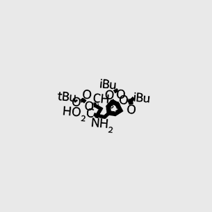 CCC(C)C(=O)Oc1ccc(CC(N)(C[C@H](C)OC(=O)OC(C)(C)C)C(=O)O)cc1OC(=O)C(C)CC